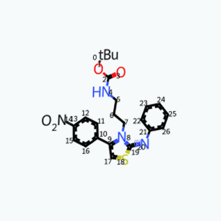 CC(C)(C)OC(=O)NCCCn1c(-c2ccc([N+](=O)[O-])cc2)cs/c1=N/c1ccccc1